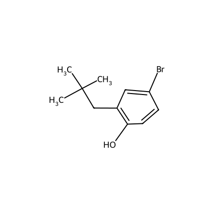 CC(C)(C)Cc1cc(Br)ccc1O